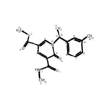 CNC(=O)c1cc(C(=O)OC)cn([C@@H](C)c2cccc(C)c2)c1=O